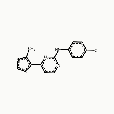 Cc1ncsc1-c1ccnc(Nc2ccc(Cl)nc2)n1